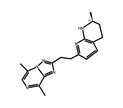 Cc1ncc(C)n2nc(CCc3ccc4c(n3)N[C@@H](C)CC4)nc12